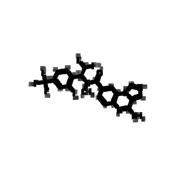 CN(C(=O)c1ccc2nc(N)c3cncn3c2c1)[C@@H](c1ccc(C(F)(F)F)cc1F)C(F)F